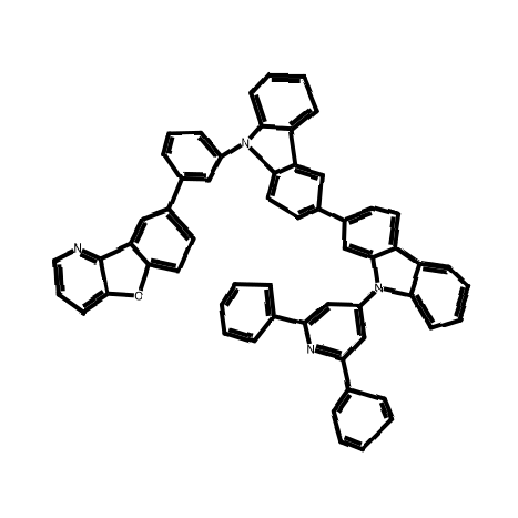 c1ccc(-c2cc(-n3c4ccccc4c4ccc(-c5ccc6c(c5)c5ccccc5n6-c5cccc(-c6ccc7oc8cccnc8c7c6)c5)cc43)cc(-c3ccccc3)n2)cc1